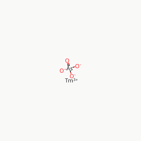 O=[As]([O-])([O-])[O-].[Tm+3]